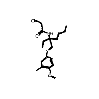 CCCCC(CC)(CSc1ccc(OC)c(C)c1)NC(=O)CCl